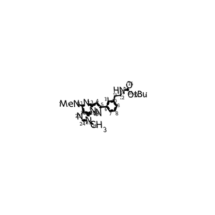 CNc1nc2cc(-c3cccc(CCNC(=O)OC(C)(C)C)c3)nn2c2c1ncn2C